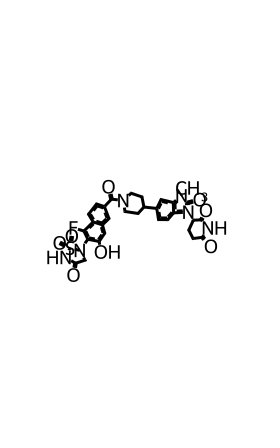 Cn1c(=O)n(C2CCC(=O)NC2=O)c2ccc(C3CCN(C(=O)c4ccc5c(F)c(N6CC(=O)NS6(=O)=O)c(O)cc5c4)CC3)cc21